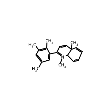 Cc1cc(C)c(C)c(C2=[N+](C)C3C=CC=CC3(C)C=C2)c1